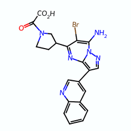 Nc1c(Br)c(C2CCN(C(=O)C(=O)O)C2)nc2c(-c3cnc4ccccc4c3)cnn12